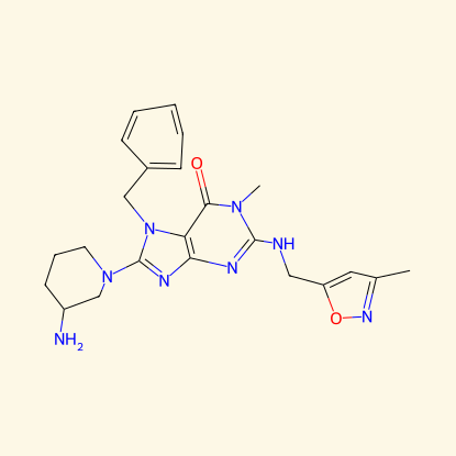 Cc1cc(CNc2nc3nc(N4CCCC(N)C4)n(Cc4ccccc4)c3c(=O)n2C)on1